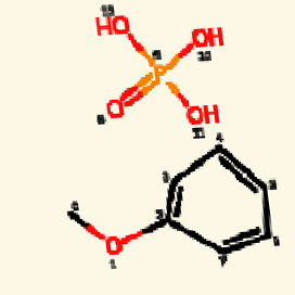 COc1ccccc1.O=P(O)(O)O